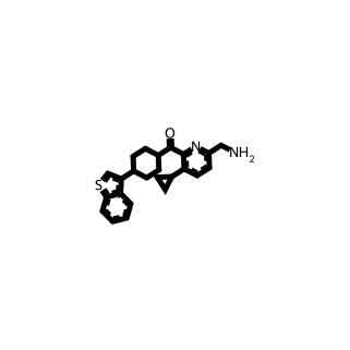 NCc1ccc(C2CC2)c(C(=O)C2CCC(c3csc4ccccc34)CC2)n1